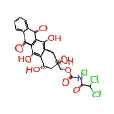 O=C1c2ccccc2C(=O)c2c(O)c3c(c(O)c21)C[C@](O)(COC(=O)N(Cl)C(=O)C(Cl)Cl)C[C@@H]3O